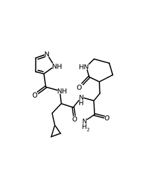 NC(=O)C(CC1CCCNC1=O)NC(=O)C(CC1CC1)NC(=O)c1ccn[nH]1